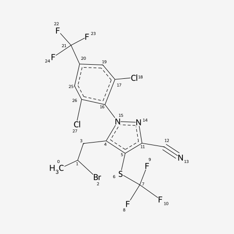 CC(Br)Cc1c(SC(F)(F)F)c(C#N)nn1-c1c(Cl)cc(C(F)(F)F)cc1Cl